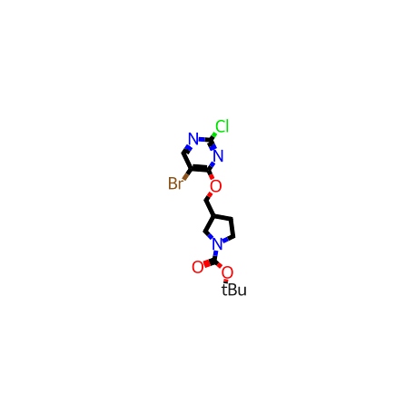 CC(C)(C)OC(=O)N1CCC(COc2nc(Cl)ncc2Br)C1